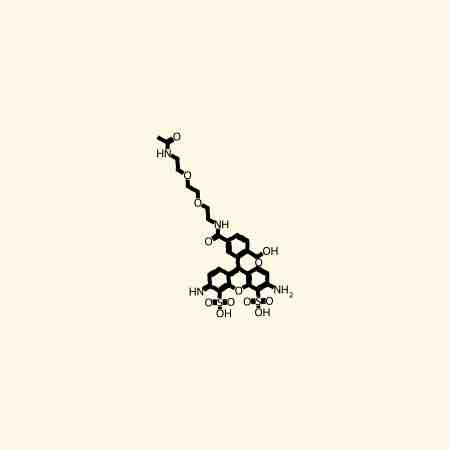 CC(=O)NCCOCCOCCNC(=O)c1ccc(C(=O)O)c(-c2c3ccc(=N)c(S(=O)(=O)O)c-3oc3c(S(=O)(=O)O)c(N)ccc23)c1